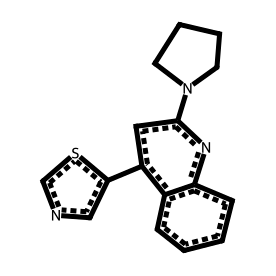 c1ccc2c(-c3cncs3)cc(N3CCCC3)nc2c1